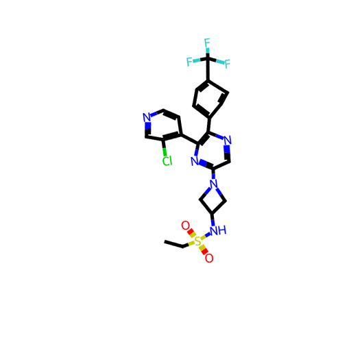 CCS(=O)(=O)NC1CN(c2cnc(-c3ccc(C(F)(F)F)cc3)c(-c3ccncc3Cl)n2)C1